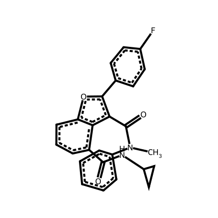 CN(C(=O)c1c(-c2ccc(F)cc2)oc2cccc(C(=O)NC3CC3)c12)c1ccccc1